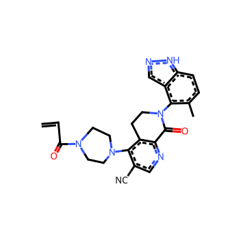 C=CC(=O)N1CCN(c2c(C#N)cnc3c2CCN(c2c(C)ccc4[nH]ncc24)C3=O)CC1